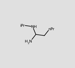 CCCCC(N)NC(C)C